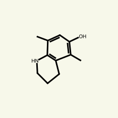 Cc1cc(O)c(C)c2c1NCCC2